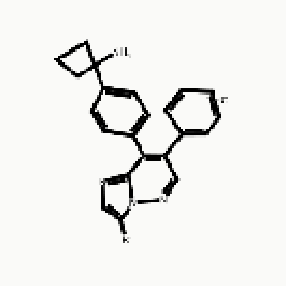 Cl.NC1(c2ccc(-c3c(-c4ccccc4)cnn4c(Br)cnc34)cc2)CCC1